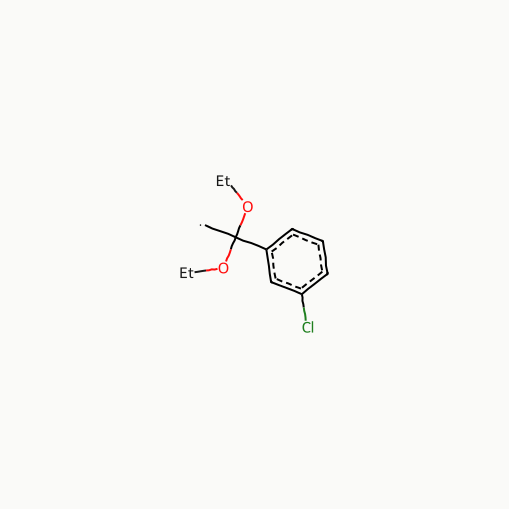 [CH2]C(OCC)(OCC)c1cccc(Cl)c1